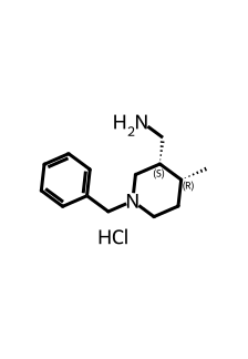 C[C@@H]1CCN(Cc2ccccc2)C[C@@H]1CN.Cl